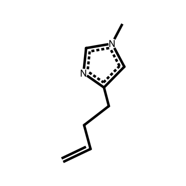 C=CCCc1cn(C)cn1